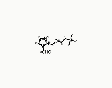 C[Si](C)(C)CCOCn1ncnc1C=O